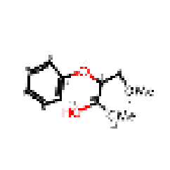 COCC(Oc1ccccc1)C(O)OC